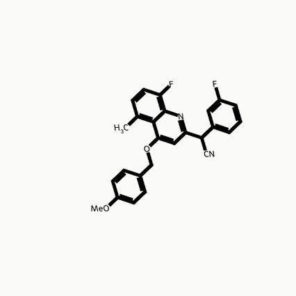 COc1ccc(COc2cc(C(C#N)c3cccc(F)c3)nc3c(F)ccc(C)c23)cc1